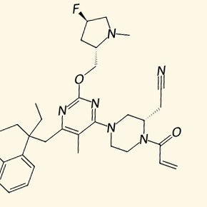 C=CC(=O)N1CCN(c2nc(OC[C@@H]3C[C@@H](F)CN3C)nc(CC3(CC)CCCc4ccccc43)c2C)C[C@@H]1CC#N